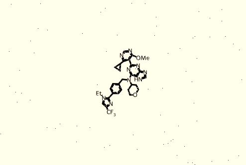 CCn1cc(C(F)(F)F)nc1-c1ccc(CN(c2nc(-c3c(OC)ncnc3C3CC3)nc3nc[nH]c23)C2CCOCC2)cc1